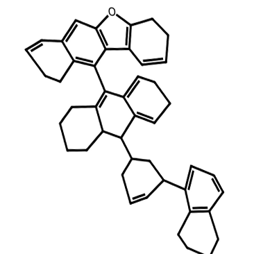 C1=Cc2c(oc3cc4c(c(C5=C6CCCCC6C(C6CC=CC(c7cccc8c7CCCC8)C6)C6=CCCC=C65)c23)CCC=C4)CC1